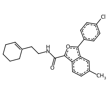 Cc1ccc2c(C(=O)NCCC3=CCCCC3)oc(-c3ccc(Cl)cc3)c2c1